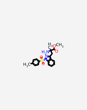 COC(=O)[C@@](C)(N)Cc1nn(S(=O)(=O)c2ccc(C)cc2)c2ccccc12